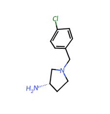 N[C@H]1CCN(Cc2ccc(Cl)cc2)C1